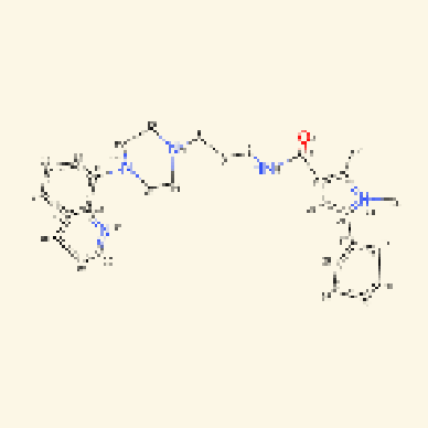 Cc1c(C(=O)NCCCN2CCN(c3cccc4cccnc34)CC2)cc(-c2ccccc2)n1C